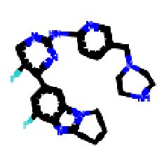 Fc1cnc(Nc2ccc(CN3CCNCC3)cn2)nc1-c1cc(F)c2nc3n(c2c1)[CH]CC3